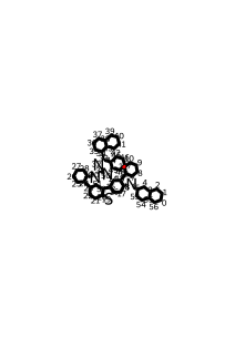 c1ccc2cc(-n3c4ccccc4c4cc5c(cc43)sc3ccc4c6ccccc6n(-c6nc(-c7cccc8ccccc78)c7ccccc7n6)c4c35)ccc2c1